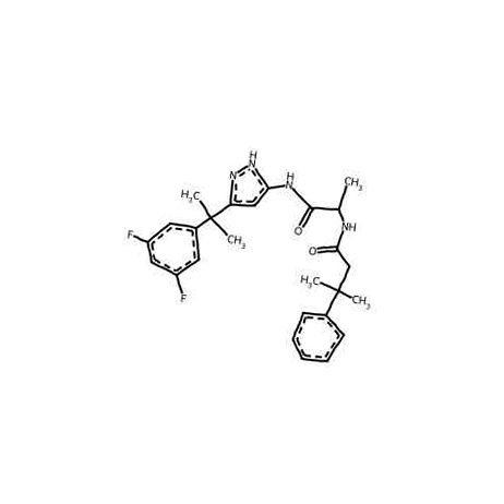 CC(NC(=O)CC(C)(C)c1ccccc1)C(=O)Nc1cc(C(C)(C)c2cc(F)cc(F)c2)n[nH]1